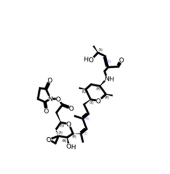 C/C(=C/C(C)=C/C[C@@H]1O[C@H](C)[C@H](NC/C(C=O)=C\[C@H](C)O)C[C@@H]1C)[C@H]1O[C@H](CC(=O)ON2C(=O)CCC2=O)C[C@@]2(CO2)[C@@H]1O